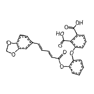 O=C(C=CC=Cc1ccc2c(c1)OCO2)Oc1ccccc1Oc1cccc(C(=O)O)c1C(=O)O